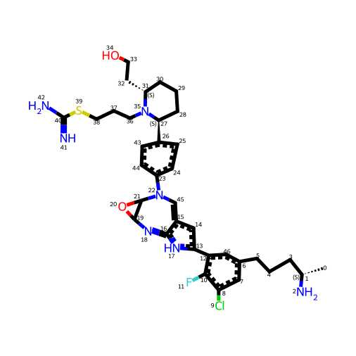 C[C@H](N)CCCc1cc(Cl)c(F)c(-c2cc3c([nH]2)=NC2OC2N(c2ccc([C@@H]4CCC[C@@H](CCO)N4CCCSC(=N)N)cc2)C=3)c1